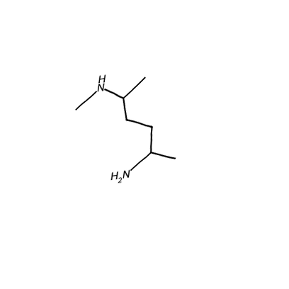 CNC(C)CCC(C)N